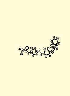 O=C(CN1CCN(CCc2ccc(Oc3nc4ccccc4s3)cc2)CC1)C1CC1